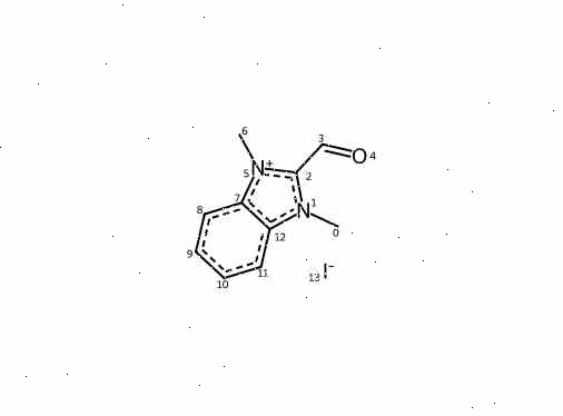 Cn1c(C=O)[n+](C)c2ccccc21.[I-]